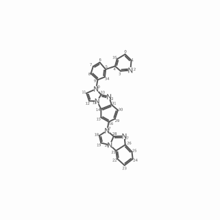 c1cncc(-c2cccc(-n3ccn4c5cc(-n6ccn7c8ccccc8nc67)ccc5nc34)c2)c1